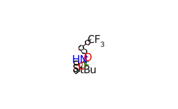 CC(C)(C)[Si](OCC(CF)NC(=O)c1ccc2c(-c3ccc(C(F)(F)F)cc3)cccc2c1)(c1ccccc1)c1ccccc1